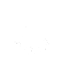 C[Si](C)(C)CCOCn1nccc1-c1ccc(Oc2ccc3c(cnn3CCO)c2)nc1